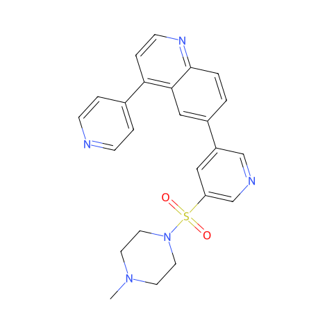 CN1CCN(S(=O)(=O)c2cncc(-c3ccc4nccc(-c5ccncc5)c4c3)c2)CC1